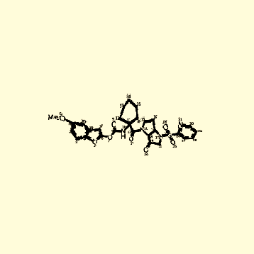 COc1ccc2oc(OC(=O)NC3(C(=O)N4CCC5C4C(=O)CN5S(=O)(=O)c4ccccn4)CCCCC3)cc2c1